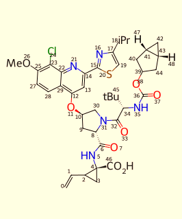 C=CC1C[C@]1(NC(=O)[C@@H]1C[C@@H](Oc2cc(-c3nc(C(C)C)cs3)nc3c(Cl)c(OC)ccc23)CN1C(=O)[C@@H](NC(=O)OC1C[C@@H]2C[C@@H]2C1)C(C)(C)C)C(=O)O